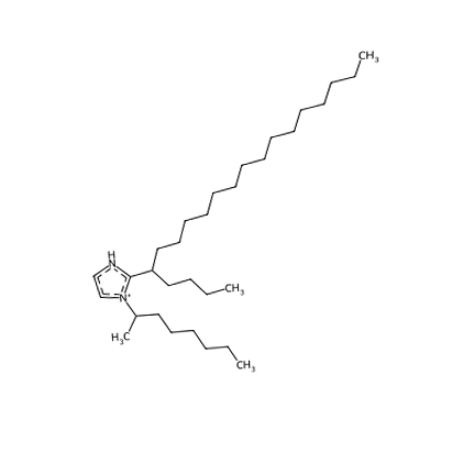 CCCCCCCCCCCCCCCC(CCCC)c1[nH]cc[n+]1C(C)CCCCCC